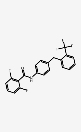 O=C(Nc1ccc(Cc2ccccc2C(F)(F)F)cc1)c1c(F)cccc1F